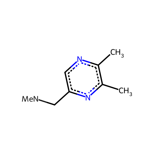 CNCc1cnc(C)c(C)n1